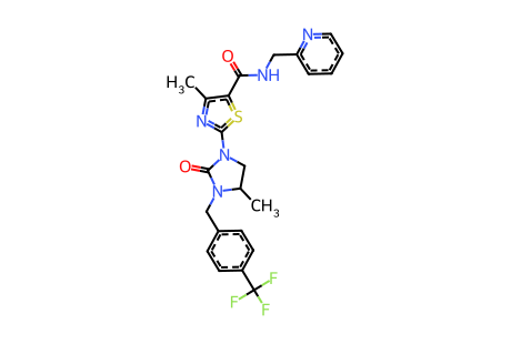 Cc1nc(N2CC(C)N(Cc3ccc(C(F)(F)F)cc3)C2=O)sc1C(=O)NCc1ccccn1